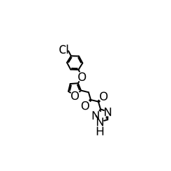 O=C(Cc1occc1Oc1ccc(Cl)cc1)C(=O)c1nc[nH]n1